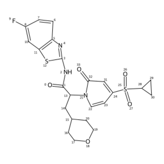 O=C(Nc1nc2ccc(F)cc2s1)C(CC1CCOCC1)n1ccc(S(=O)(=O)C2CC2)cc1=O